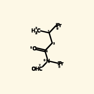 CC(C)C(C)CC(=O)N(C=O)C(C)C